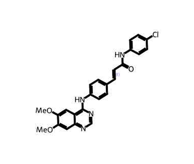 COc1cc2ncnc(Nc3ccc(/C=C/C(=O)Nc4ccc(Cl)cc4)cc3)c2cc1OC